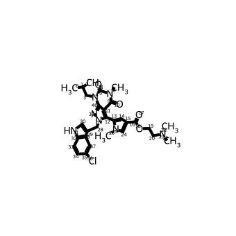 CC(C)Cn1c(=O)n(C)c(=O)c2c(-c3cc(C(=O)OCCN(C)C)cn3C)n(Cc3c[nH]c4ccc(Cl)cc34)nc21